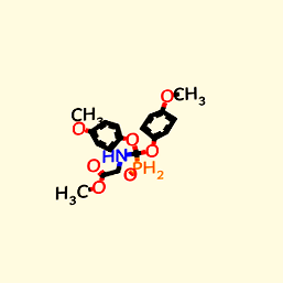 COC(=O)CNC(Oc1ccc(OC)cc1)(Oc1ccc(OC)cc1)[PH2]=O